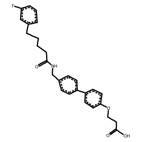 O=C(O)CCOc1ccc(-c2ccc(CNC(=O)CCCCc3cccc(F)c3)cc2)cc1